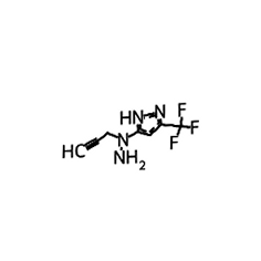 C#CCN(N)c1cc(C(F)(F)F)n[nH]1